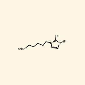 CCCCCCCCCCCCCC[n+]1ccn(C(C)C)c1CC